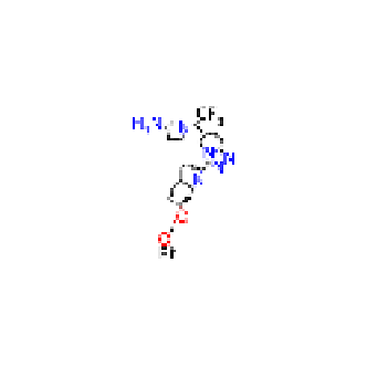 CCOCCOc1ccc2ccc(-c3nnc4ccc([C@@H](N5CCC(N)C5)C(F)(F)F)cn34)nc2c1